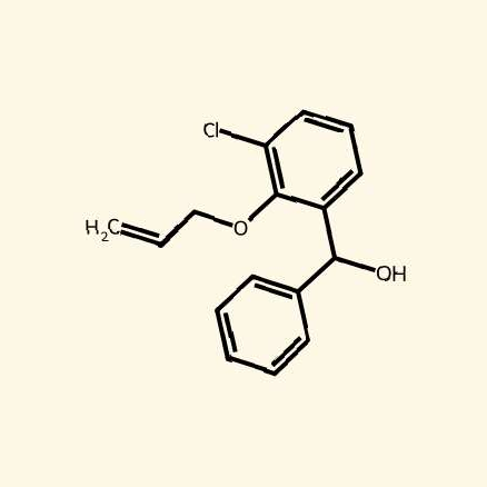 C=CCOc1c(Cl)cccc1C(O)c1ccccc1